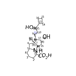 O=C(O)C1CCCC2C[C@@H]3[C@@H](/C=C/[C@H](O)C4CCC4)[C@H](O)C[C@H]3N21